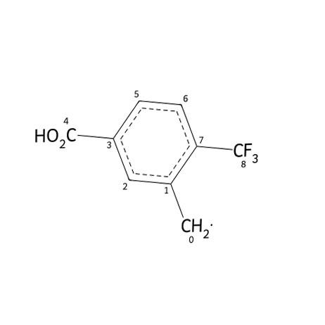 [CH2]c1cc(C(=O)O)ccc1C(F)(F)F